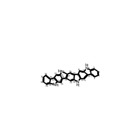 c1ccc2c(c1)[nH]c1cc3c(cc12)[nH]c1cc2c(cc13)[nH]c1cc3c(cc12)[nH]c1ccccc13